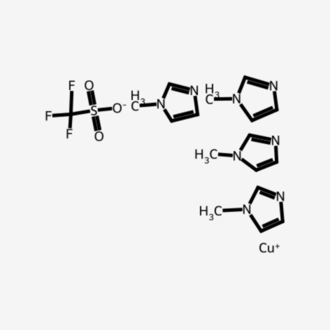 Cn1ccnc1.Cn1ccnc1.Cn1ccnc1.Cn1ccnc1.O=S(=O)([O-])C(F)(F)F.[Cu+]